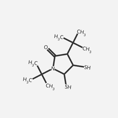 CC(C)(C)C1C(=O)N(C(C)(C)C)C(S)C1S